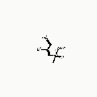 COC(C)(Cl)/C=C(/Br)C=N